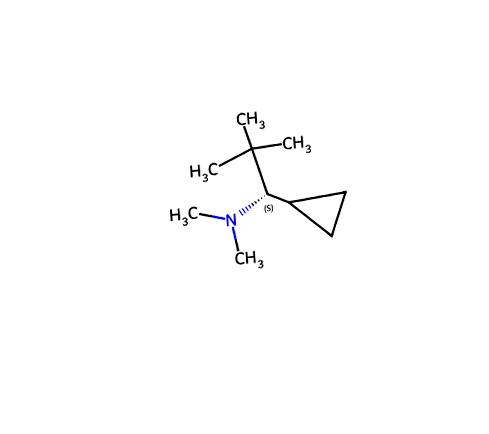 CN(C)[C@@H](C1CC1)C(C)(C)C